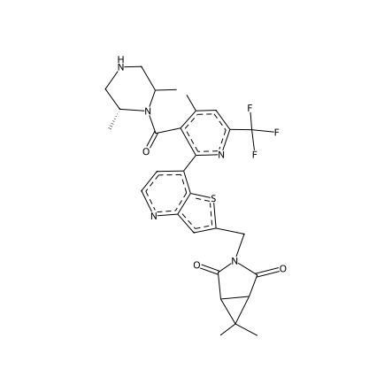 Cc1cc(C(F)(F)F)nc(-c2ccnc3cc(CN4C(=O)C5C(C4=O)C5(C)C)sc23)c1C(=O)N1C(C)CNC[C@H]1C